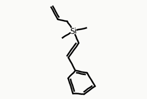 C=CC[Si](C)(C)C=Cc1ccccc1